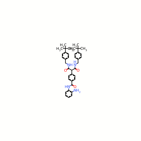 CC(C)(C)c1ccc(CNC(=O)C(C(=O)NCc2ccc(C(C)(C)C)cc2)c2ccc(C(=O)Nc3ccccc3N)cc2)cc1